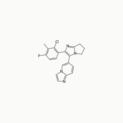 Cc1c(F)ccc(-c2nc3n(c2-c2ccc4nccn4c2)CCC3)c1Cl